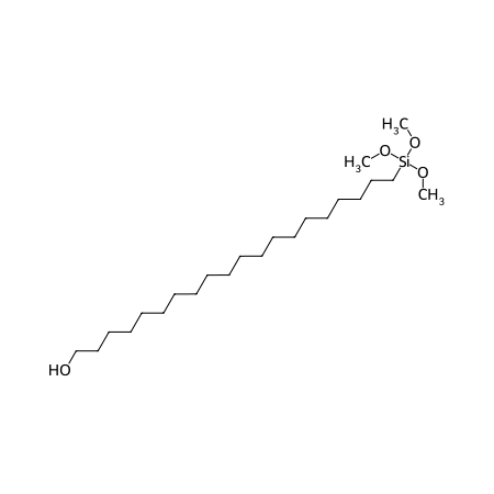 CO[Si](CCCCCCCCCCCCCCCCCCCCO)(OC)OC